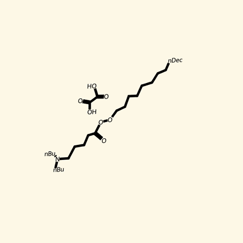 CCCCCCCCCCCCCCCCCCOOC(=O)CCCCN(CCCC)CCCC.O=C(O)C(=O)O